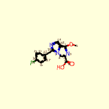 COc1nc(C(=O)O)cn2c(-c3ccc(F)cc3)ncc12